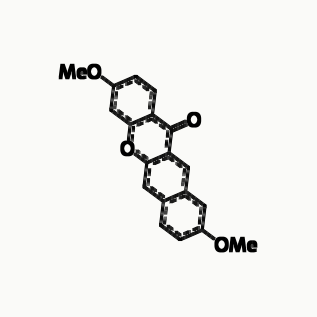 COc1ccc2cc3oc4cc(OC)ccc4c(=O)c3cc2c1